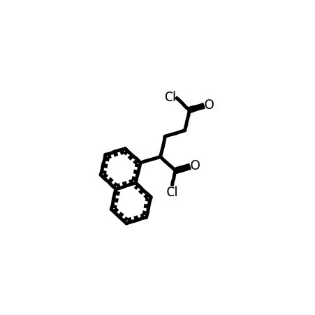 O=C(Cl)CCC(C(=O)Cl)c1cccc2ccccc12